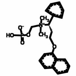 C[N+](C)(COP(=O)([O-])O)[C@@H](CCOc1cccc2ccccc12)c1ccccc1